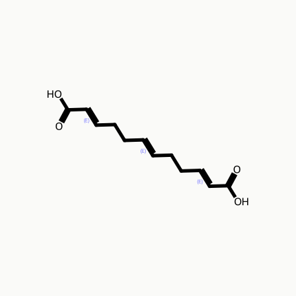 O=C(O)/C=C/CC/C=C/CC/C=C/C(=O)O